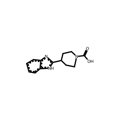 O=C(O)N1CCC(c2nc3ccccc3[nH]2)CC1